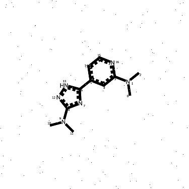 CN(C)c1cc(-c2nc(N(C)C)n[nH]2)ccn1